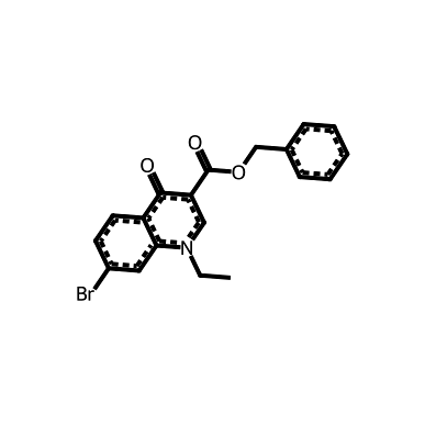 CCn1cc(C(=O)OCc2ccccc2)c(=O)c2ccc(Br)cc21